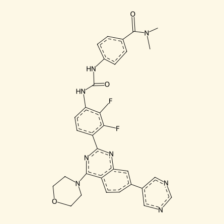 CN(C)C(=O)c1ccc(NC(=O)Nc2ccc(-c3nc(N4CCOCC4)c4ccc(-c5cncnc5)cc4n3)c(F)c2F)cc1